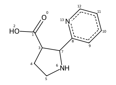 O=C(O)C1CCNC1c1ccccn1